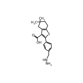 CC1(C)CCc2sc(-c3ccc(CNN)cc3)c(C(=O)O)c2C1